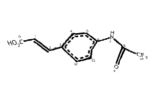 O=C(O)C=Cc1ccc(NC(=O)C(F)(F)F)cc1